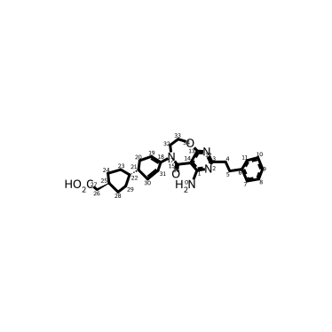 Nc1nc(CCc2ccccc2)nc2c1C(=O)N(C1=CCC([C@H]3CC[C@H](CC(=O)O)CC3)C=C1)CCO2